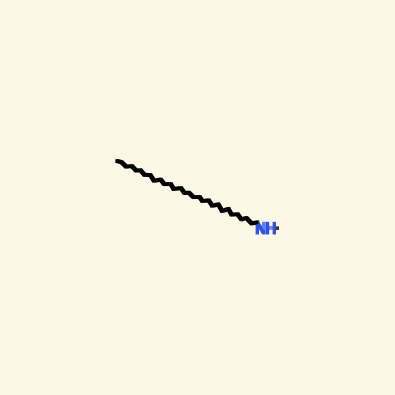 CCCCCCCCCCCCCCCCCCCCCCCCCCCCCC[NH]